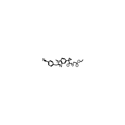 CCOC(=O)CN(C)C(=O)C1(c2ccc3c(c2)nc(Cc2ccc(C#N)cc2)n3C)CC1